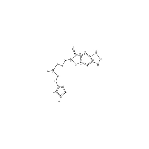 Cc1ccc(CCN(C)CCCN2Cc3cc4c(cc3C2=O)OCO4)s1